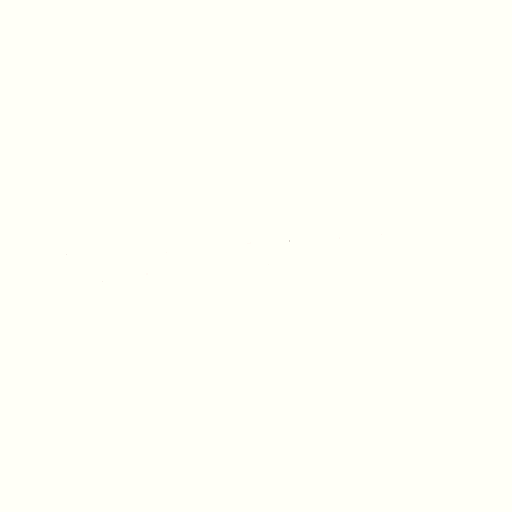 CCCCCCCCCCCCCCCC(O)CCS(=O)(=O)[O-].[Na+]